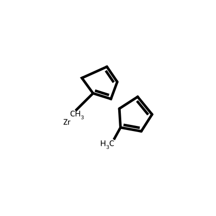 CC1=CC=CC1.CC1=CC=CC1.[Zr]